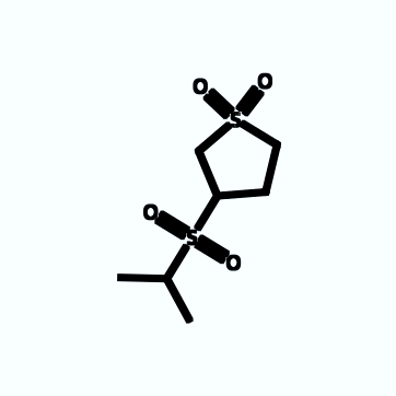 CC(C)S(=O)(=O)C1CCS(=O)(=O)C1